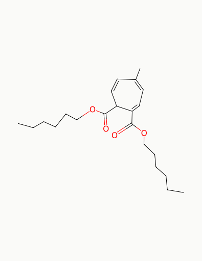 CCCCCCOC(=O)C1=CC=C(C)C=CC1C(=O)OCCCCCC